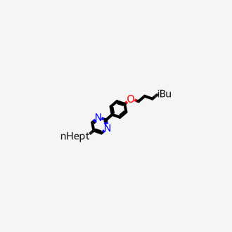 CCCCCCCc1cnc(-c2ccc(OCCCC(C)CC)cc2)nc1